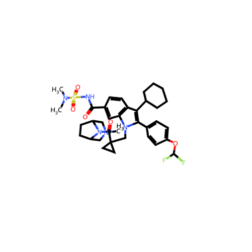 CN1CC2CCC(C1)N2C(=O)C1(Cn2c(-c3ccc(OC(F)F)cc3)c(C3CCCCC3)c3ccc(C(=O)NS(=O)(=O)N(C)C)cc32)CC1